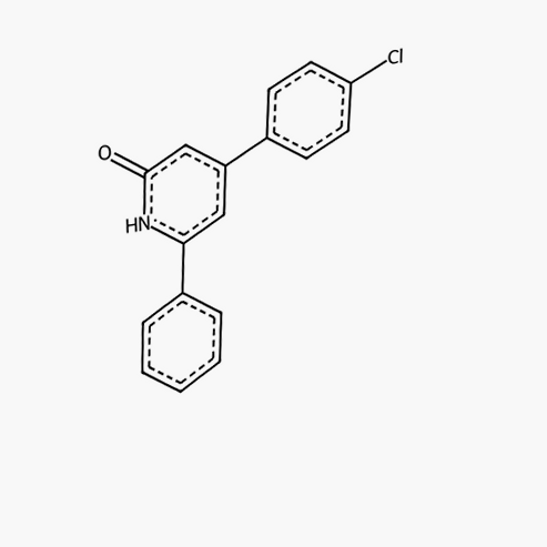 O=c1cc(-c2ccc(Cl)cc2)cc(-c2ccccc2)[nH]1